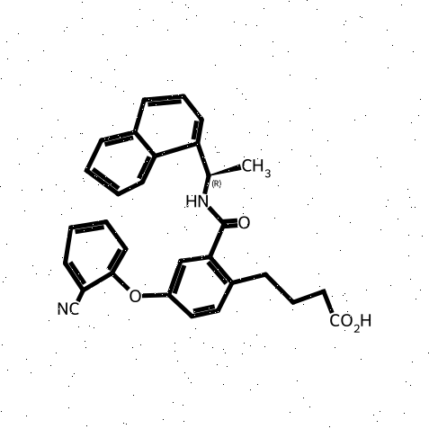 C[C@@H](NC(=O)c1cc(Oc2ccccc2C#N)ccc1CCCC(=O)O)c1cccc2ccccc12